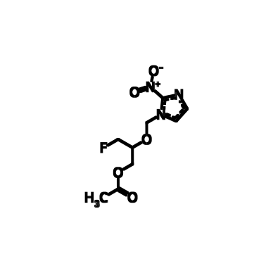 CC(=O)OCC(CF)OCn1ccnc1[N+](=O)[O-]